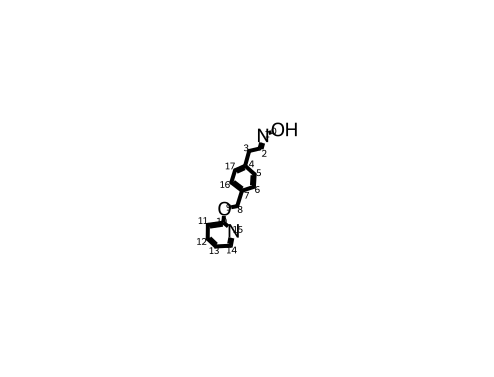 ON=CCc1ccc(COc2ccccn2)cc1